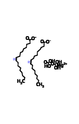 CCCCCCCC/C=C\CCCCCCCC(=O)[O-].CCCCCCCC/C=C\CCCCCCCC(=O)[O-].O=C(O)O.O=C(O)O.[Mg+2]